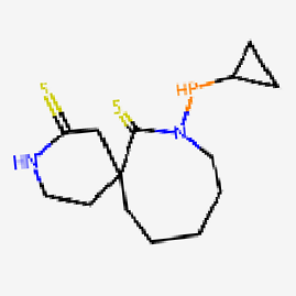 S=C1CC2(CCCCCN(PC3CC3)C2=S)CCN1